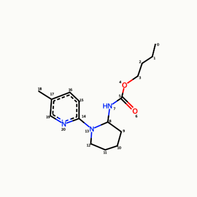 CCCCOC(=O)NC1CCCCN1c1ccc(C)cn1